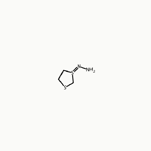 NN=S1CCSC1